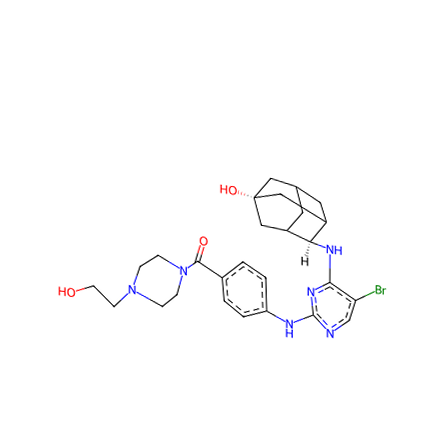 O=C(c1ccc(Nc2ncc(Br)c(N[C@H]3C4CC5CC3C[C@](O)(C5)C4)n2)cc1)N1CCN(CCO)CC1